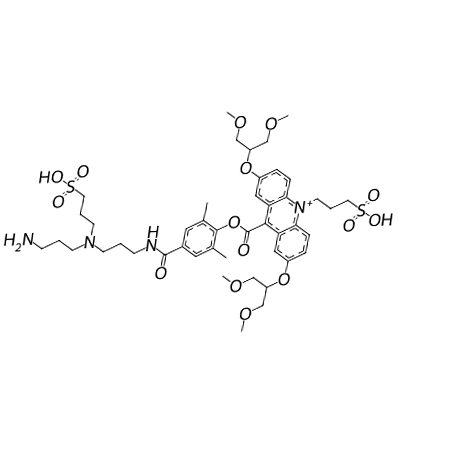 COCC(COC)Oc1ccc2c(c1)c(C(=O)Oc1c(C)cc(C(=O)NCCCN(CCCN)CCCS(=O)(=O)O)cc1C)c1cc(OC(COC)COC)ccc1[n+]2CCCS(=O)(=O)O